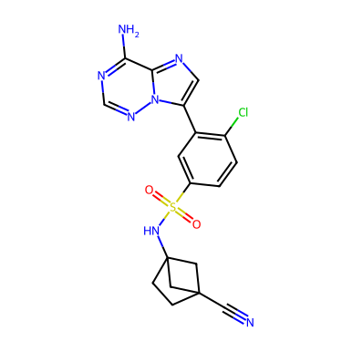 N#CC12CCC(NS(=O)(=O)c3ccc(Cl)c(-c4cnc5c(N)ncnn45)c3)(C1)C2